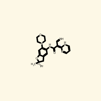 CC(C)[C@@]1(C)Cc2cc(NC(=O)/C(C=N)=C3\N=CC=CN3)c(N3CCOCC3)cc2O1